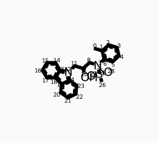 Cc1ccccc1N(CC(O)Cn1c2ccccc2c2ccccc21)S(C)(=O)=O